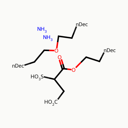 CCCCCCCCCCCCOC(=O)C(CC(=O)O)S(=O)(=O)O.CCCCCCCCCCCCOCCCCCCCCCCCC.N.N